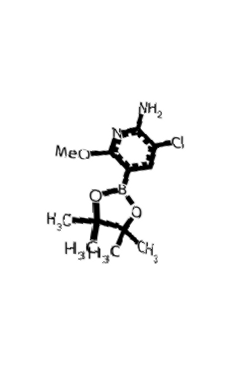 COc1nc(N)c(Cl)cc1B1OC(C)(C)C(C)(C)O1